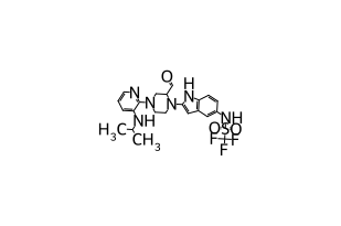 CC(C)Nc1cccnc1N1CCN(c2cc3cc(NS(=O)(=O)C(F)(F)F)ccc3[nH]2)C(C=O)C1